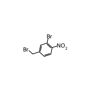 O=[N+]([O-])c1ccc(CBr)cc1Br